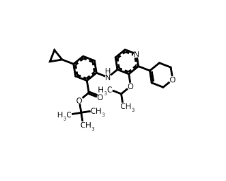 CC(C)Oc1c(Nc2ccc(C3CC3)cc2C(=O)OC(C)(C)C)ccnc1C1=CCOCC1